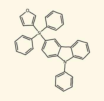 c1ccc(-n2c3ccccc3c3cc([Si](c4ccccc4)(c4ccccc4)c4ccoc4)ccc32)cc1